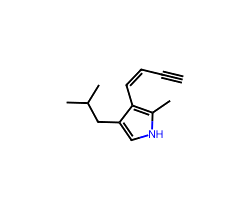 C#C/C=C\c1c(CC(C)C)c[nH]c1C